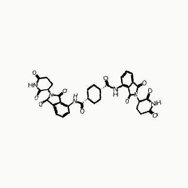 O=C1CCC(N2C(=O)c3cccc(NC(=O)[C@H]4CC[C@@H](C(=O)Nc5cccc6c5C(=O)N(C5CCC(=O)NC5=O)C6=O)CC4)c3C2=O)C(=O)N1